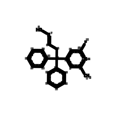 Cc1cc(C(C/C=N/O)(c2ccccc2)c2ccccc2)cc(F)n1